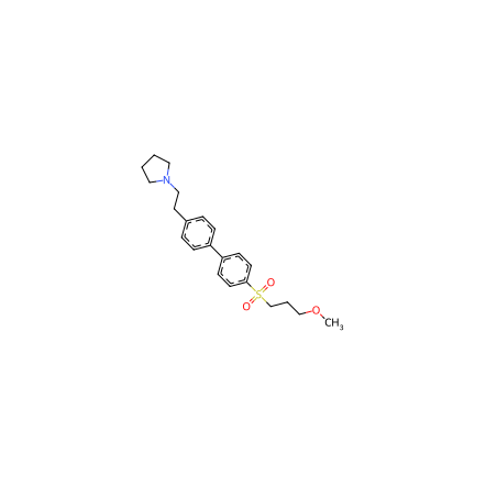 COCCCS(=O)(=O)c1ccc(-c2ccc(CCN3CCCC3)cc2)cc1